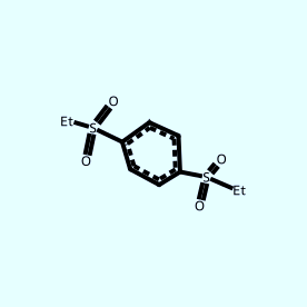 CCS(=O)(=O)c1[c]cc(S(=O)(=O)CC)cc1